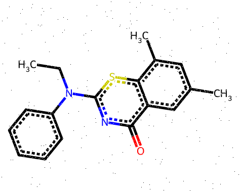 CCN(c1ccccc1)c1nc(=O)c2cc(C)cc(C)c2s1